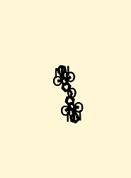 O=C1c2ccc(Oc3ccc4c(c3)C(=O)N(c3ncccn3)C4=O)cc2C(=O)N1c1ncccn1